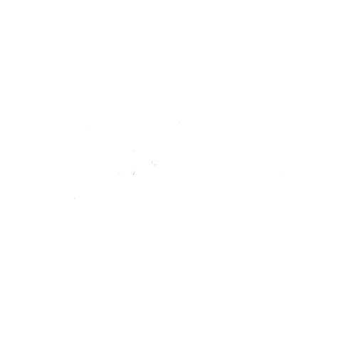 CCCCCCCC(CC)OCCCN(C(=O)CCOC=O)[C@@H](CC(=O)OCC(C)C)C(=O)OCC(C)C